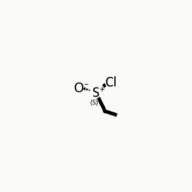 CC[S@+]([O-])Cl